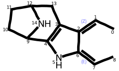 C/C=c1/c2c([nH]/c1=C/C)C1CCC(C2)N1